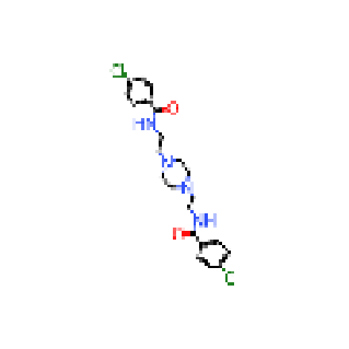 O=C(NCCN1CCN(CCNC(=O)c2ccc(Cl)cc2)CC1)c1ccc(Cl)cc1